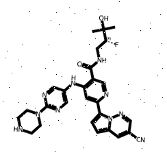 CC(C)(O)[C@H](F)CNC(=O)c1cnc(-c2ccc3cc(C#N)cnn23)cc1Nc1cnc(N2CCNCC2)nc1